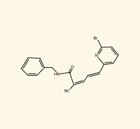 N#CC(=CC=Cc1cccc(Br)n1)C(=O)NCc1ccccc1